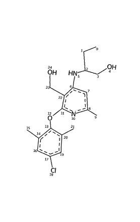 CCC(CO)Nc1cc(C)nc(Oc2c(C)cc(Cl)cc2C)c1CO